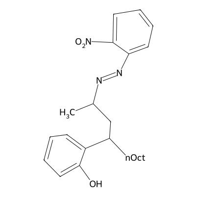 CCCCCCCCC(CC(C)N=Nc1ccccc1[N+](=O)[O-])c1ccccc1O